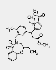 CCC1CN(Cc2cc(C(CC(=O)OC)c3ccc(C(C)=O)n3CC)ccc2C)S(=O)(=O)c2ccccc2O1